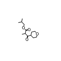 CC(C)COC(=O)C(C)C(=O)C1CCOCC1